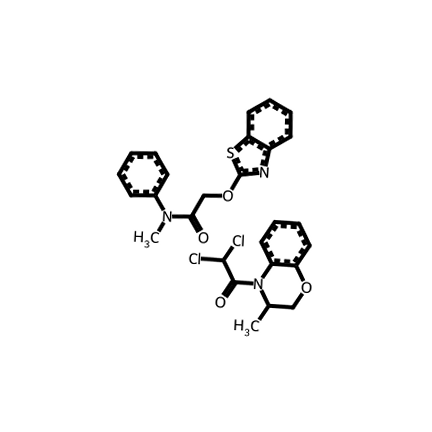 CC1COc2ccccc2N1C(=O)C(Cl)Cl.CN(C(=O)COc1nc2ccccc2s1)c1ccccc1